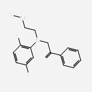 CCNCCN(CC(=O)c1ccccc1)c1cc(Cl)ccc1Cl